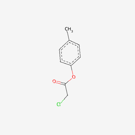 Cc1ccc(OC(=O)CCl)cc1